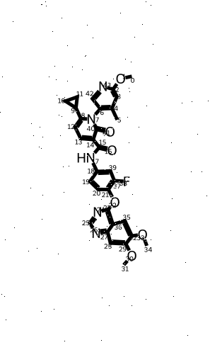 COc1cc(C)c(-n2c(C3CC3)ccc(C(=O)Nc3ccc(Oc4ncnc5cc(OC)c(OC)cc45)c(F)c3)c2=O)cn1